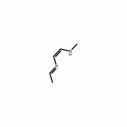 C/C=N/C=C\NC